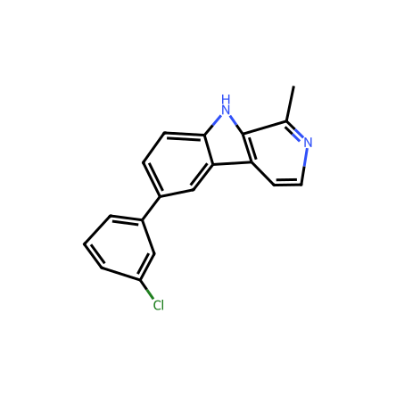 Cc1nccc2c1[nH]c1ccc(-c3cccc(Cl)c3)cc12